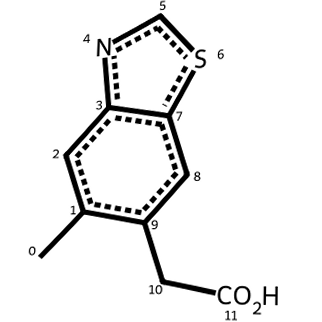 Cc1cc2ncsc2cc1CC(=O)O